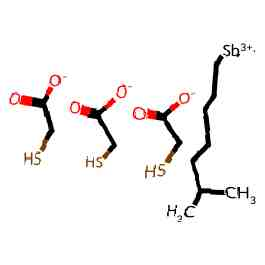 CC(C)CCCC[CH2][Sb+3].O=C([O-])CS.O=C([O-])CS.O=C([O-])CS